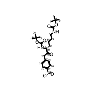 CC(C)(C)OC(=O)NCCCC[C@H](NC(=O)OC(C)(C)C)C(=O)Cc1ccc([N+](=O)[O-])cc1